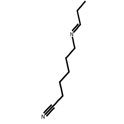 CC/C=N/CCCCCC#N